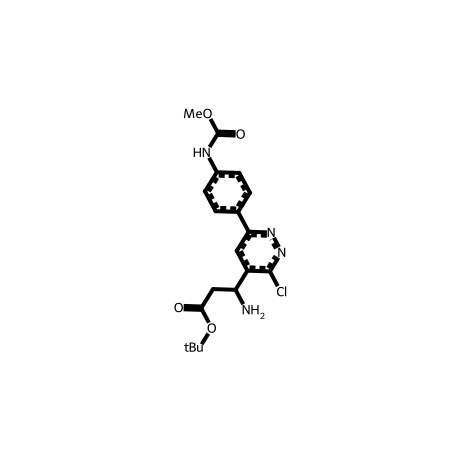 COC(=O)Nc1ccc(-c2cc(C(N)CC(=O)OC(C)(C)C)c(Cl)nn2)cc1